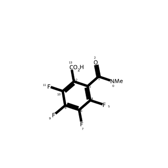 CNC(=O)c1c(F)c(F)c(F)c(F)c1C(=O)O